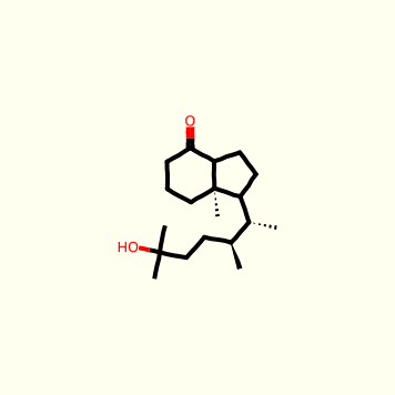 C[C@@H](CCC(C)(C)O)[C@@H](C)C1CCC2C(=O)CCC[C@@]21C